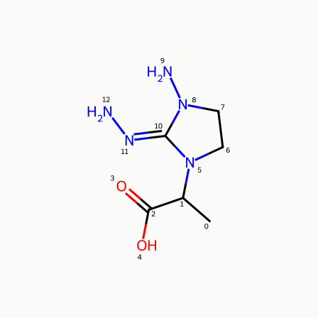 CC(C(=O)O)N1CCN(N)C1=NN